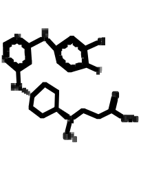 COC(=O)CCN(C)[C@H]1CC[C@H](Nc2cc(Nc3ccc(F)c(Cl)c3)ncn2)CC1